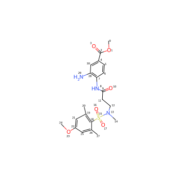 COC(=O)c1ccc(NC(=O)CCN(C)S(=O)(=O)c2c(C)cc(OC)cc2C)c(N)c1